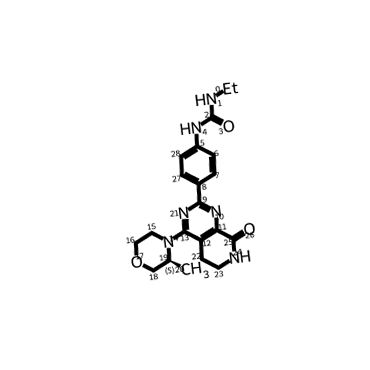 CCNC(=O)Nc1ccc(-c2nc3c(c(N4CCOC[C@@H]4C)n2)CCNC3=O)cc1